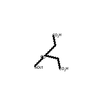 CCCCCCCC/C=C\CCCCCCCC(=O)OCC(CCCCCCCCC/C=C\CCCCCCCC(=O)O)CCCCCCCCC/C=C\CCCCCCCC(=O)O